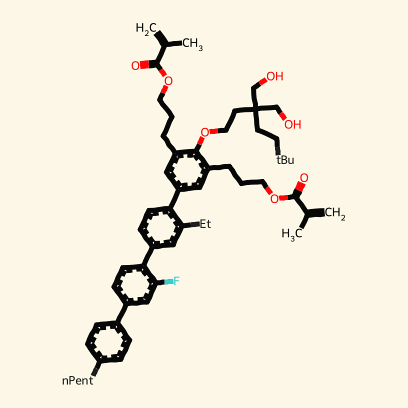 C=C(C)C(=O)OCCCc1cc(-c2ccc(-c3ccc(-c4ccc(CCCCC)cc4)cc3F)cc2CC)cc(CCCOC(=O)C(=C)C)c1OCCC(CO)(CO)CCC(C)(C)C